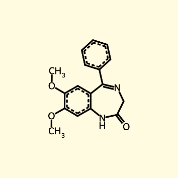 COc1cc2c(cc1OC)C(c1ccccc1)=NCC(=O)N2